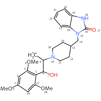 COc1cc(OC)c(C(O)C(C)N2CCC(Cn3c(=O)[nH]c4ccccc43)CC2)c(OC)c1